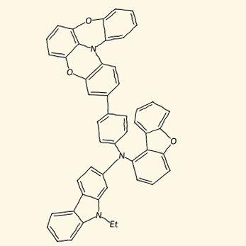 CCn1c2ccccc2c2ccc(N(c3ccc(-c4ccc5c(c4)Oc4cccc6c4N5c4ccccc4O6)cc3)c3cccc4oc5ccccc5c34)cc21